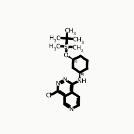 CC(C)(C)[Si](C)(C)O[C@H]1CCC[C@@H](Nc2nnc(Cl)c3cnccc23)C1